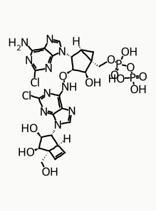 Nc1nc(Cl)nc2c1ncn2[C@H]1[C@H](ONc2nc(Cl)nc3c2ncn3[C@H]2[C@H](O)[C@H](O)[C@]3(CO)C=C[C@H]23)[C@H](O)[C@]2(COP(=O)(O)OP(=O)(O)O)C[C@H]12